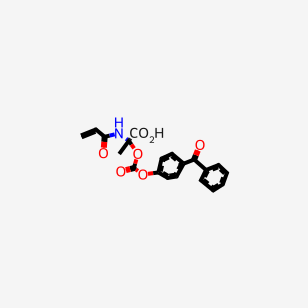 C=CC(=O)NC(C)(OC(=O)Oc1ccc(C(=O)c2ccccc2)cc1)C(=O)O